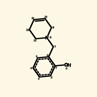 Oc1ccccc1CN1CC=CCC1